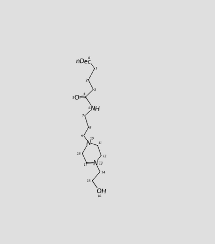 CCCCCCCCCCCCCC(=O)NCCCN1CCN(CCO)CC1